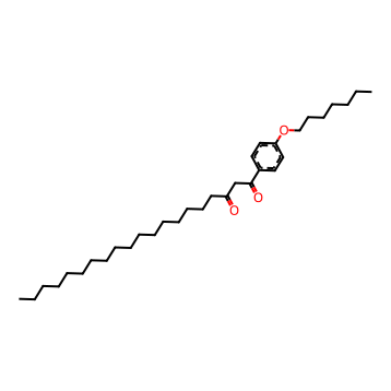 CCCCCCCCCCCCCCCCCC(=O)CC(=O)c1ccc(OCCCCCCC)cc1